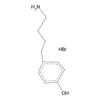 Br.NCCCCc1ccc(O)cc1